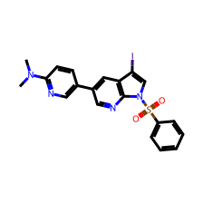 CN(C)c1ccc(-c2cnc3c(c2)c(I)cn3S(=O)(=O)c2ccccc2)cn1